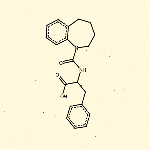 O=C(O)C(Cc1ccccc1)NC(=O)N1CCCCc2ccccc21